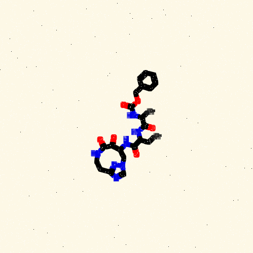 CC(C)CC(NC(=O)C(NC(=O)OCc1ccccc1)C(C)C)C(=O)NC1Cn2cnc(n2)CCNC(=O)C1=O